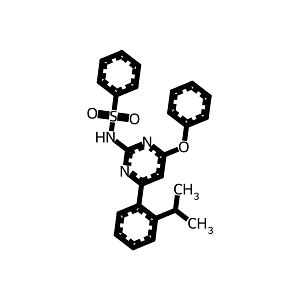 CC(C)c1ccccc1-c1cc(Oc2ccccc2)nc(NS(=O)(=O)c2ccccc2)n1